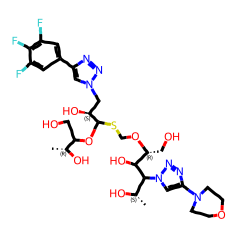 C[C@H](O)C(C(O)[C@@H](CO)OCSC(OC(CO)[C@@H](C)O)[C@@H](O)Cn1cc(-c2cc(F)c(F)c(F)c2)nn1)n1cc(N2CCOCC2)nn1